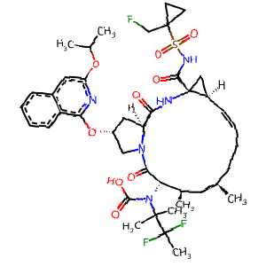 CC(C)Oc1cc2ccccc2c(O[C@@H]2C[C@H]3C(=O)N[C@]4(C(=O)NS(=O)(=O)C5(CF)CC5)C[C@H]4C=CCC[C@@H](C)C[C@@H](C)[C@H](N(C(=O)O)C(C)(C)C(C)(F)F)C(=O)N3C2)n1